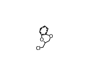 ClCC1COc2ccccc2O1